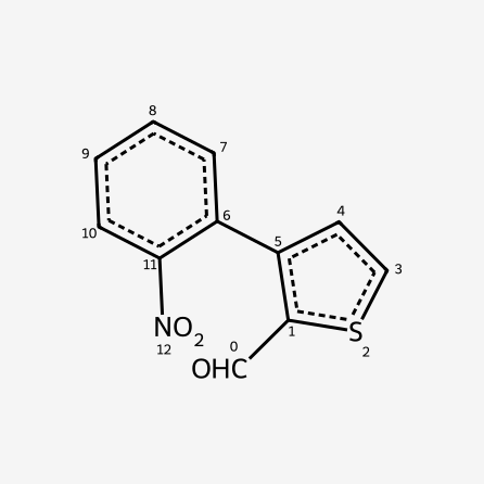 O=Cc1sccc1-c1ccccc1[N+](=O)[O-]